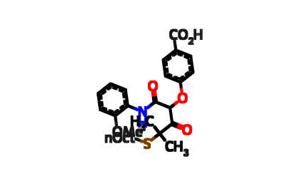 CCCCCCCCSC(C)(C)C(=O)C(Oc1ccc(C(=O)O)cc1)C(=O)Nc1ccccc1OC